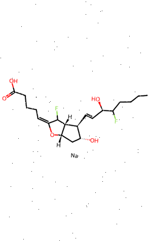 CCCCC(F)[C@H](O)C=C[C@@H]1[C@H]2C(F)C(=CCCCC(=O)O)O[C@H]2C[C@H]1O.[Na]